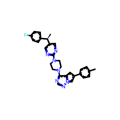 Cc1ccc(-c2cc3c(N4CCN(c5ncc([C@H](C)c6ccc(F)cc6)cn5)CC4)ncnn3c2)cc1